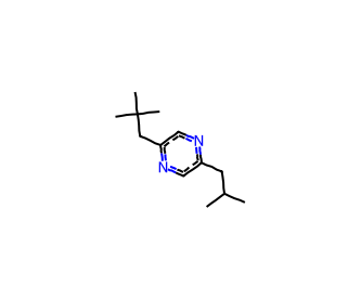 CC(C)Cc1cnc(CC(C)(C)C)cn1